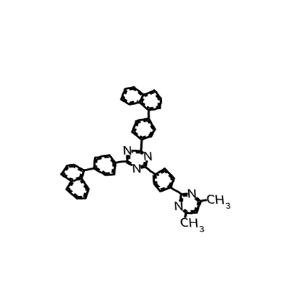 Cc1cc(C)nc(-c2ccc(-c3nc(-c4ccc(-c5cccc6ccccc56)cc4)nc(-c4ccc(-c5cccc6ccccc56)cc4)n3)cc2)n1